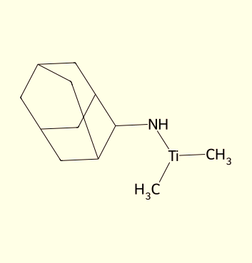 [CH3][Ti]([CH3])[NH]C1C2CC3CC(C2)CC1C3